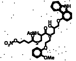 COc1ccccc1OCCN(CC(O)COc1cccc2[nH]c3ccccc3c12)C(=O)C(CSC(=O)CCCO[N+](=O)[O-])NC(C)=O